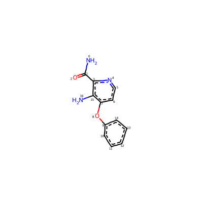 NC(=O)c1nccc(Oc2ccccc2)c1N